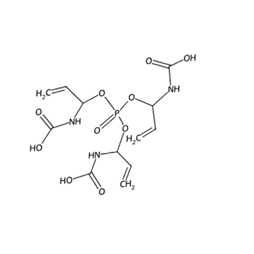 C=CC(NC(=O)O)OP(=O)(OC(C=C)NC(=O)O)OC(C=C)NC(=O)O